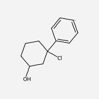 OC1CCCC(Cl)(c2cc[c]cc2)C1